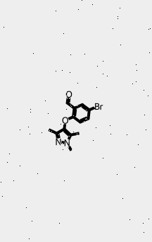 Cc1nn(C)c(C)c1Oc1ccc(Br)cc1C=O